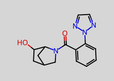 O=C(c1ccccc1-n1nccn1)N1CC2CC(O)C1C2